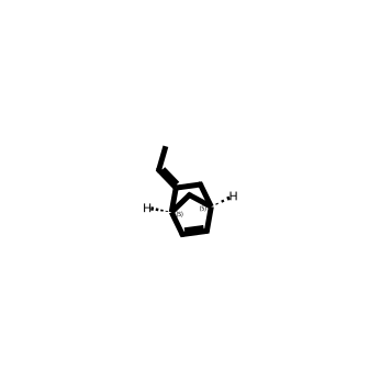 CC=C1C[C@H]2C=C[C@@H]1C2